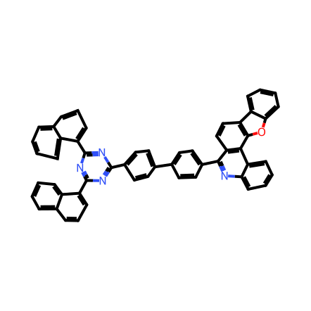 c1ccc2c(-c3nc(-c4ccc(-c5ccc(-c6nc7ccccc7c7c6ccc6c8ccccc8oc67)cc5)cc4)nc(-c4cccc5ccccc45)n3)cccc2c1